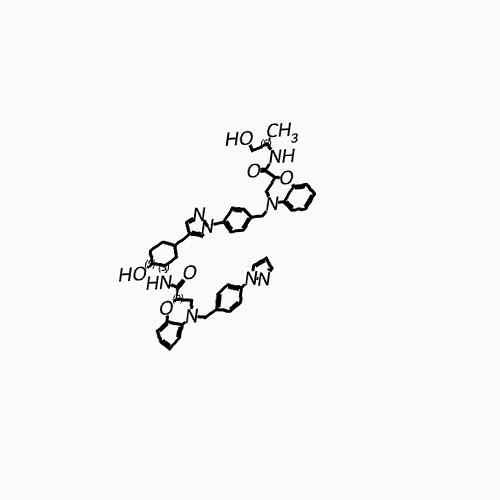 C[C@@H](CO)NC(=O)C1CN(Cc2ccc(-n3cc(C4CC[C@H](O)[C@@H](NC(=O)[C@H]5CN(Cc6ccc(-n7cccn7)cc6)c6ccccc6O5)C4)cn3)cc2)c2ccccc2O1